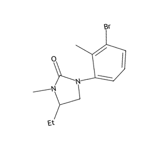 CCC1CN(c2cccc(Br)c2C)C(=O)N1C